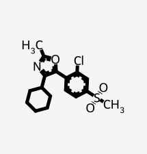 Cc1nc(C2CCCCC2)c(-c2ccc(S(C)(=O)=O)cc2Cl)o1